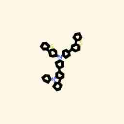 c1ccc(-n2c3ccccc3c3ccc(-c4ccc(N(c5ccc(-c6ccc7sc8ccccc8c7c6)cc5)c5ccc6c(c5)sc5ccccc56)cc4)cc32)cc1